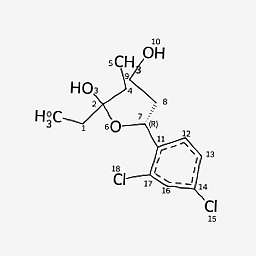 CCC(O)(CC)O[C@H](CCO)c1ccc(Cl)cc1Cl